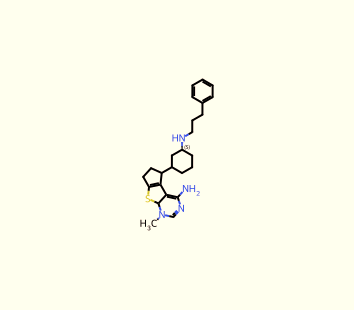 CN1C=NC(N)=C2C3=C(CCC3C3CCC[C@H](NCCCc4ccccc4)C3)SC21